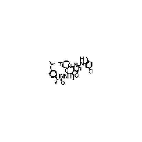 Cc1ccc(Cl)cc1Nc1nc(N2CCN(C)CC2)c2c(C(=O)NNC(=O)C(C)c3ccc(CC(C)C)cc3)c(C)oc2n1